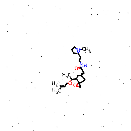 CC(C)=CCOC(C)C1C/C(=C\C(=O)NCCC2CCCN2C)CCC12CO2